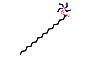 CCCCCCCCCCCCCCCCCC(=O)OP(CC)(CC)(CC)CC